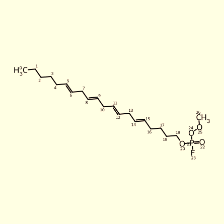 CCCCCC=CCC=CCC=CCC=CCCCCOP(=O)(F)OOC